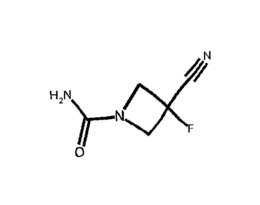 N#CC1(F)CN(C(N)=O)C1